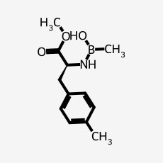 COC(=O)[C@H](Cc1ccc(C)cc1)NB(C)O